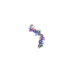 CN(CCC(F)(F)F)C(=O)C(=O)Nc1ccc2cc(-c3ccc(C4CCN(C(=O)C(=O)Nc5ccc6cc(-c7ccccc7C(F)F)[nH]c6n5)C4)cc3C(F)F)[nH]c2n1